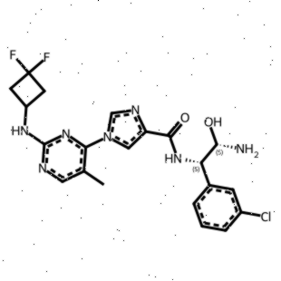 Cc1cnc(NC2CC(F)(F)C2)nc1-n1cnc(C(=O)N[C@@H](c2cccc(Cl)c2)[C@@H](N)O)c1